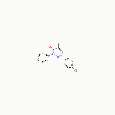 Cc1cc(-c2ccc(Cl)cc2)nn(-c2ccccc2)c1=O